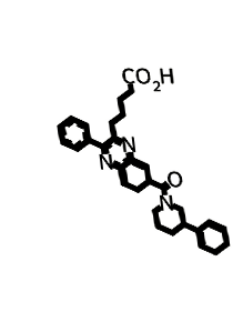 O=C(O)CCCCc1nc2c(nc1-c1ccccc1)=CCC(C(=O)N1CCCC(C3=CCCC=C3)C1)C=2